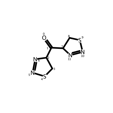 O=C(C1CSN=N1)C1CSN=N1